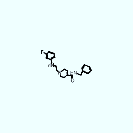 O=C(NCc1ccccc1)C1CCN(CCNc2cccc(F)c2)CC1